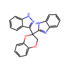 c1ccc2c(c1)OCC(c1nc3ccccc3[nH]1)(c1n[nH]c3ccccc13)O2